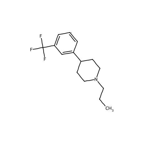 CCCN1CCC(c2c[c]cc(C(F)(F)F)c2)CC1